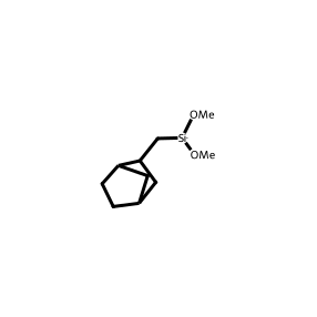 CO[Si](CC1CC2CCC1C2)OC